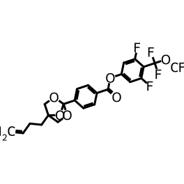 C=CCCC12COC(c3ccc(C(=O)Oc4cc(F)c(C(F)(F)OC(F)(F)F)c(F)c4)cc3)(OC1)O2